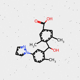 Cc1ccc(-n2cccn2)cc1C(O)c1c(C)cc(C(=O)O)cc1C